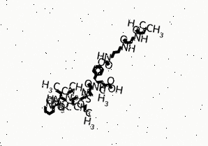 CCCO[C@H](CC(C(C)C)N(CCC)C(=O)[C@@H](NC(=O)[C@H]1CCCCN1C)[C@@H](C)CC)c1nc(C(=O)N[C@@H](Cc2ccc(OC(=O)NCCCCNC(=O)CCNC(=O)CC(C)C)cc2)C[C@H](C)C(=O)O)cs1